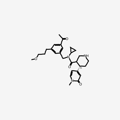 COCCCc1cc(CN(C(=O)C2CNCC[C@@H]2c2ccn(C)c(=O)c2)C2CC2)cc(C(C)=O)c1